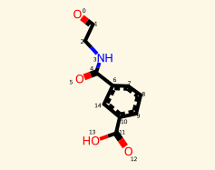 O=CCNC(=O)c1cccc(C(=O)O)c1